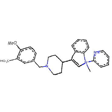 COc1ccc(CN2CCC(C3=C[N+](C)(c4ccccn4)c4ccccc43)CC2)cc1C(=O)O